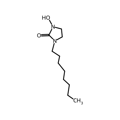 CCCCCCCCN1CCN(O)C1=O